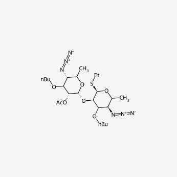 CCCCOC1[C@H](N=[N+]=[N-])C(C)O[C@H](O[C@@H]2C(OCCCC)[C@H](N=[N+]=[N-])C(C)O[C@@H]2SCC)[C@@H]1OC(C)=O